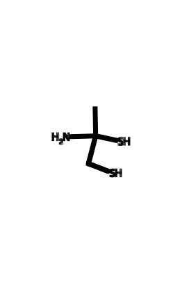 CC(N)(S)CS